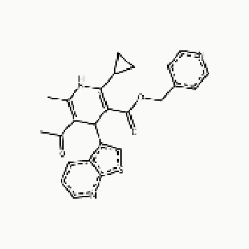 CC(=O)C1=C(C)NC(C2CC2)=C(C(=O)OCc2ccncc2)C1c1csc2ncccc12